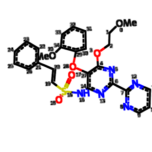 COCCOc1nc(-c2ncccn2)nc(NS(=O)(=O)C=Cc2ccccc2)c1Oc1ccccc1OC